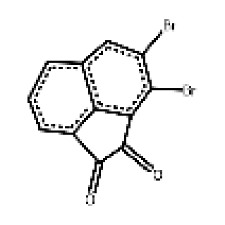 O=C1C(=O)c2c(Br)c(Br)cc3cccc1c23